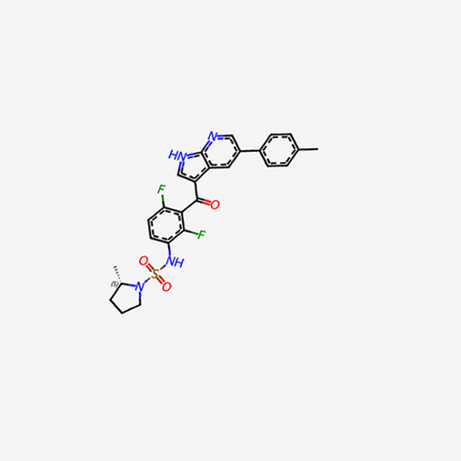 Cc1ccc(-c2cnc3[nH]cc(C(=O)c4c(F)ccc(NS(=O)(=O)N5CCC[C@@H]5C)c4F)c3c2)cc1